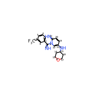 N=C(c1cccc(C(F)(F)F)c1)n1cc(NC2CCOCC2)ccc1=N